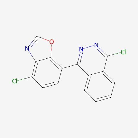 Clc1nnc(-c2ccc(Cl)c3ncoc23)c2ccccc12